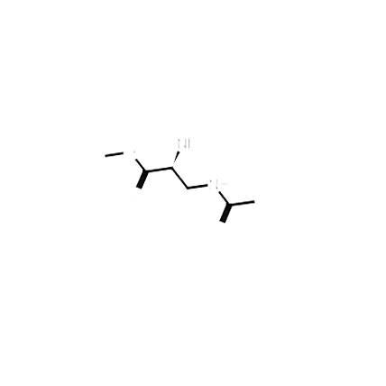 COC(=O)[C@@H](N)CNC(C)=O